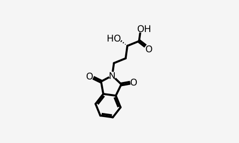 O=C(O)[C@@H](O)CCN1C(=O)c2ccccc2C1=O